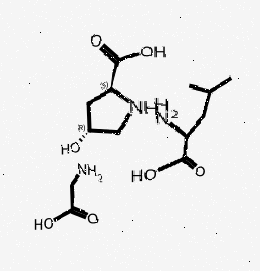 CC(C)CC(N)C(=O)O.NCC(=O)O.O=C(O)[C@@H]1C[C@@H](O)CN1